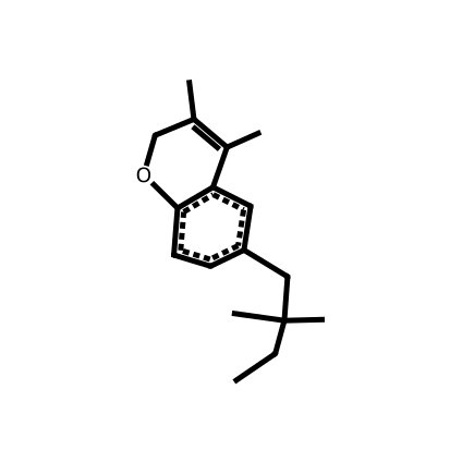 CCC(C)(C)Cc1ccc2c(c1)C(C)=C(C)CO2